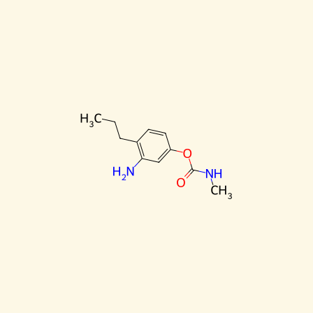 CCCc1ccc(OC(=O)NC)cc1N